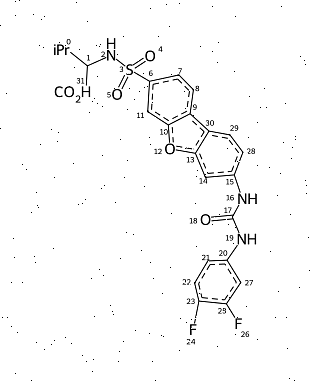 CC(C)C(NS(=O)(=O)c1ccc2c(c1)oc1cc(NC(=O)Nc3ccc(F)c(F)c3)ccc12)C(=O)O